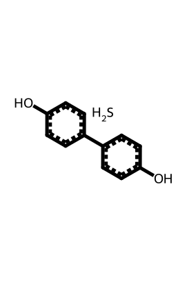 Oc1ccc(-c2ccc(O)cc2)cc1.S